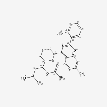 Cc1ccc2c(N3CCCC(C(CC(C)C)OC(N)=O)C3)nc(-c3ccccc3O)nc2c1